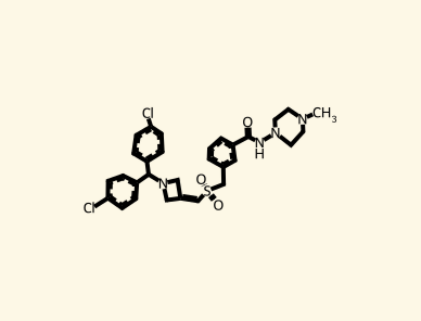 CN1CCN(NC(=O)c2cccc(CS(=O)(=O)C=C3CN(C(c4ccc(Cl)cc4)c4ccc(Cl)cc4)C3)c2)CC1